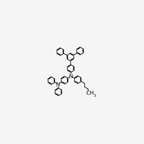 CCCCc1ccc(N(c2ccc(-c3cc(-c4ccccc4)cc(-c4ccccc4)c3)cc2)c2ccc(N(c3ccccc3)c3ccccc3)cc2)cc1